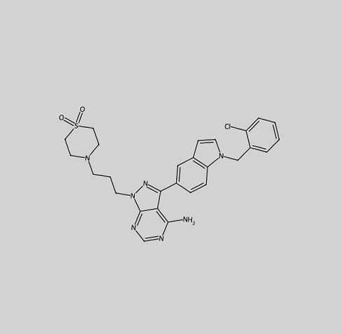 Nc1ncnc2c1c(-c1ccc3c(ccn3Cc3ccccc3Cl)c1)nn2CCCN1CCS(=O)(=O)CC1